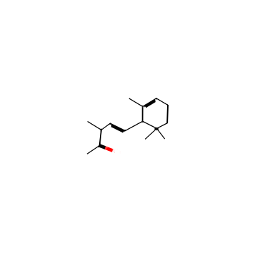 CC(=O)C(C)/C=C/C1C(C)=CCCC1(C)C